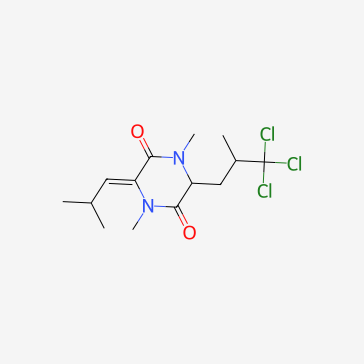 CC(C)/C=C1/C(=O)N(C)C(CC(C)C(Cl)(Cl)Cl)C(=O)N1C